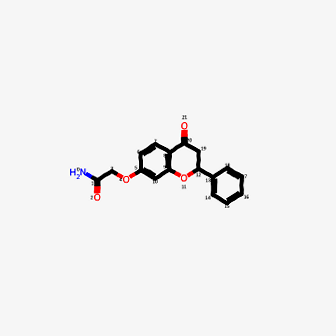 NC(=O)COc1ccc2c(c1)OC(c1ccccc1)CC2=O